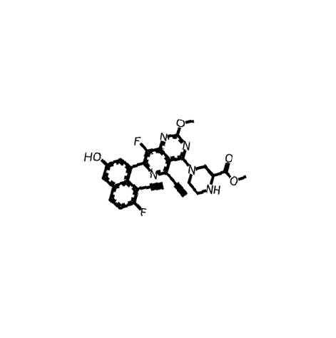 C#Cc1c(F)ccc2cc(O)cc(-c3nc(C#C)c4c(N5CCNC(C(=O)OC)C5)nc(OC)nc4c3F)c12